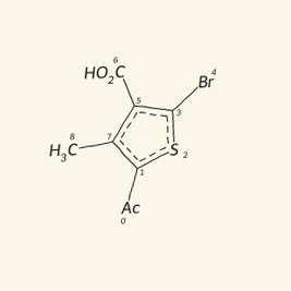 CC(=O)c1sc(Br)c(C(=O)O)c1C